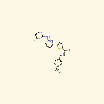 Cc1ccnc(Nc2cccc(-c3ccc(C(=O)N(C)Cc4ccc(C(=O)O)cc4)s3)n2)c1